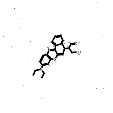 CCN(CC)c1ccc2c(c1)OC1=CC(C(C=O)CO)c3ccccc3C1=N2